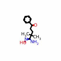 CC(C)(CCC(=O)c1ccccc1)/C(N)=N/O